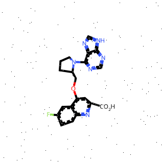 O=C(O)c1cc(OCC2CCCN2c2ncnc3[nH]cnc23)c2cc(F)ccc2n1